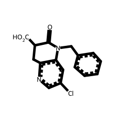 O=C(O)C1Cc2ncc(Cl)cc2N(Cc2ccccc2)C1=O